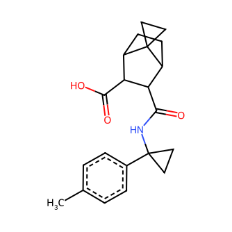 Cc1ccc(C2(NC(=O)C3C(C(=O)O)C4CCC3C43CC3)CC2)cc1